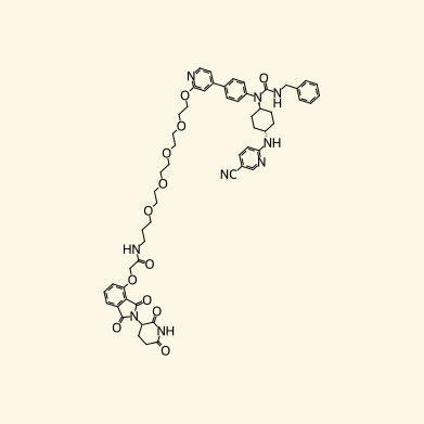 N#Cc1ccc(N[C@H]2CC[C@H](N(C(=O)NCc3ccccc3)c3ccc(-c4ccnc(OCCOCCOCCOCCOCCCNC(=O)COc5cccc6c5C(=O)N(C5CCC(=O)NC5=O)C6=O)c4)cc3)CC2)nc1